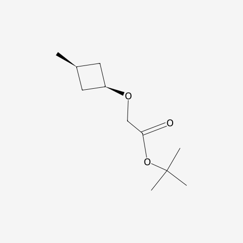 CC(C)(C)OC(=O)CO[C@H]1C[C@@H](C)C1